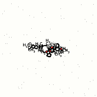 CCC1(NC(=O)N2Cc3cc(OC)c(OC)cc3C2)CNCCc2c([nH]c3ccccc23)[C@@](C(=O)OC)(c2cc3c(cc2OC)N(C)C2[C@H](O)[C@H](OC(C)=O)[C@]4(CC)C=CCN5CC[C@]32[C@@H]54)C[C@H](C)C1